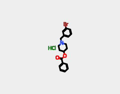 Cl.O=C(OC1CCN(Cc2cccc(Br)c2)CC1)c1ccccc1